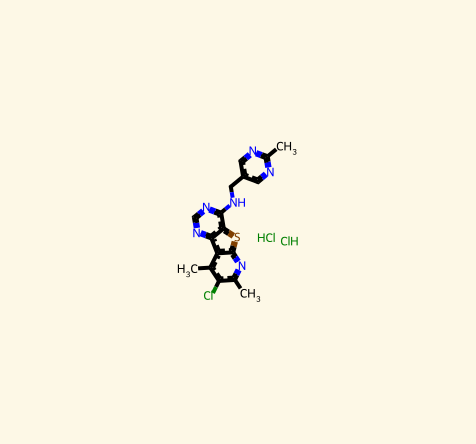 Cc1ncc(CNc2ncnc3c2sc2nc(C)c(Cl)c(C)c23)cn1.Cl.Cl